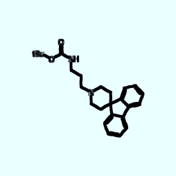 CC(C)(C)OC(=O)NCCCN1CCC2(CC1)c1ccccc1-c1ccccc12